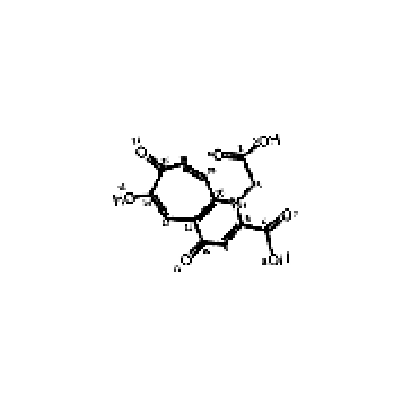 O=C(O)Cn1c(C(=O)O)cc(=O)c2cc(O)c(=O)ccc21